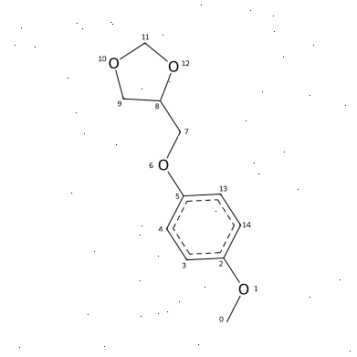 COc1ccc(OCC2COCO2)cc1